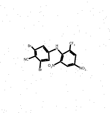 N#Cc1c(Br)cc(Nc2c([N+](=O)[O-])cc([N+](=O)[O-])cc2C(F)(F)F)cc1Br